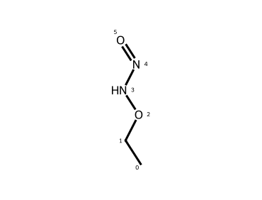 CCONN=O